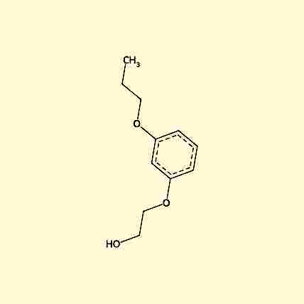 CCCOc1cccc(OCCO)c1